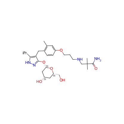 Cc1cc(OCCCNCC(C)(C)C(N)=O)ccc1Cc1c(O[C@H]2C[C@@H](O)C[C@@H](CO)O2)n[nH]c1C(C)C